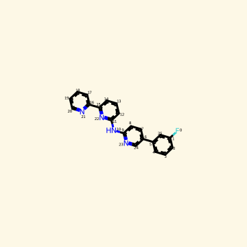 Fc1cccc(-c2ccc(Nc3cccc(-c4ccccn4)n3)nc2)c1